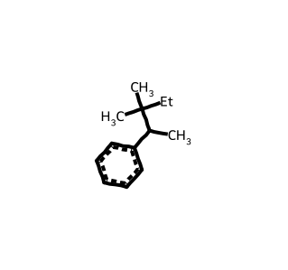 CCC(C)(C)[C](C)c1ccccc1